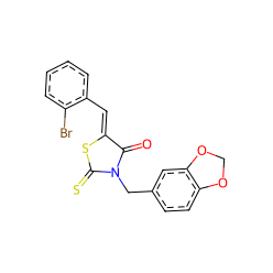 O=C1/C(=C/c2ccccc2Br)SC(=S)N1Cc1ccc2c(c1)OCO2